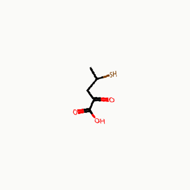 CC(S)CC(=O)C(=O)O